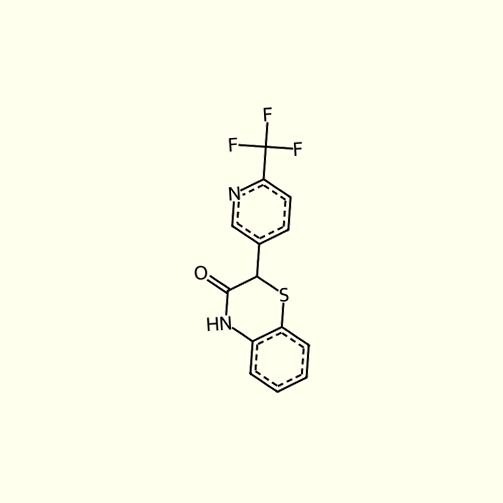 O=C1Nc2ccccc2SC1c1ccc(C(F)(F)F)nc1